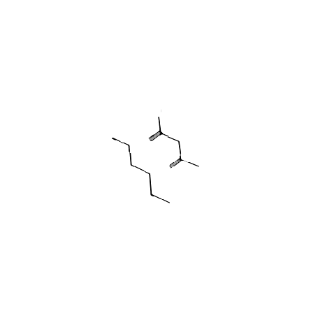 CC(=O)CC(=O)O.CCCCCC